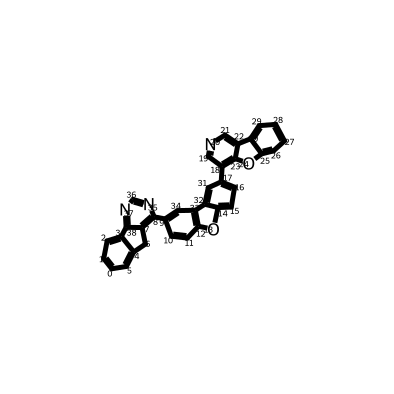 c1ccc2c(c1)Cc1c(-c3ccc4oc5ccc(-c6cncc7c6oc6ccccc67)cc5c4c3)ncnc1-2